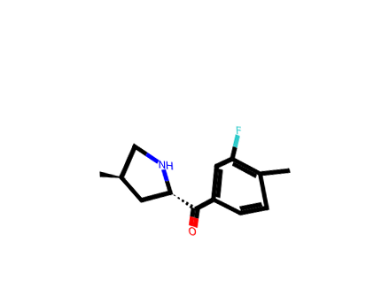 Cc1ccc(C(=O)[C@@H]2C[C@@H](C)CN2)cc1F